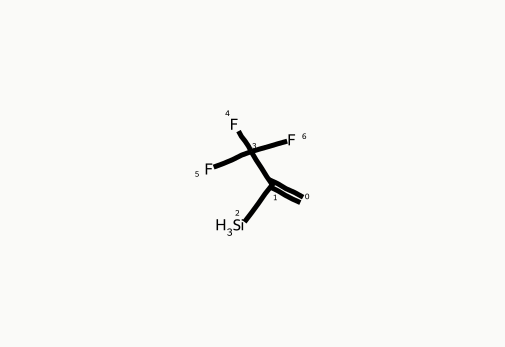 C=C([SiH3])C(F)(F)F